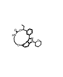 CCC1OC(=O)NCCCOc2ccc3c(c2)c(nn3C2CCCCO2)-c2cccc1c2